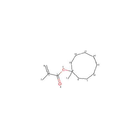 C=C(C)C(=O)OC1(C)CCCCCCCC1